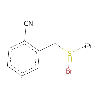 CC(C)[SH](Br)Cc1c[c]ccc1C#N